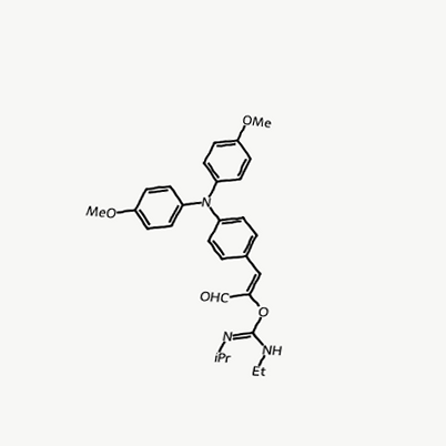 CCNC(=NC(C)C)O/C(C=O)=C/c1ccc(N(c2ccc(OC)cc2)c2ccc(OC)cc2)cc1